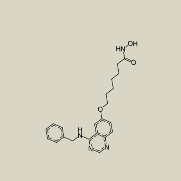 O=C(CCCCCCOc1ccc2ncnc(NCc3ccccc3)c2c1)NO